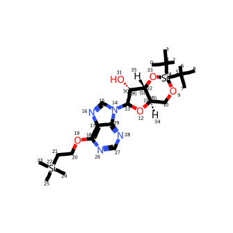 CC(C)(C)[Si]1(C(C)(C)C)OC[C@H]2OC(n3cnc4c(OCC[Si](C)(C)C)ncnc43)[C@H](O)[C@@H]2O1